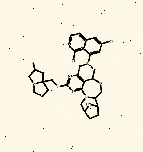 Oc1cc(N2Cc3nc(OCC45CCCN4CC(F)C5)nc4c3C(C2)OCC2C3CCC(CN42)N3)c2c(Cl)cccc2c1